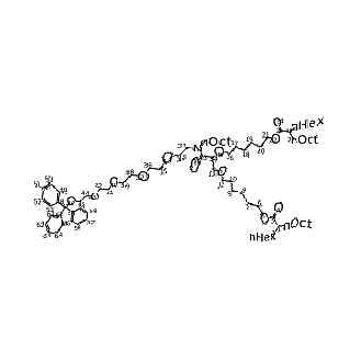 CCCCCCCCC(CCCCCC)C(=O)OCCCCCCOCC(OCCCCCCOC(=O)C(CCCCCC)CCCCCCCC)C(=O)N(CCCCCCCC)CCOCCOCCOCCOCCOC(c1ccccc1)(c1ccccc1)c1ccccc1